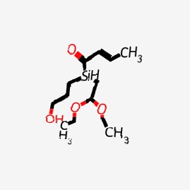 CC=CC(=O)[SiH](CCCO)CC(OCC)OCC